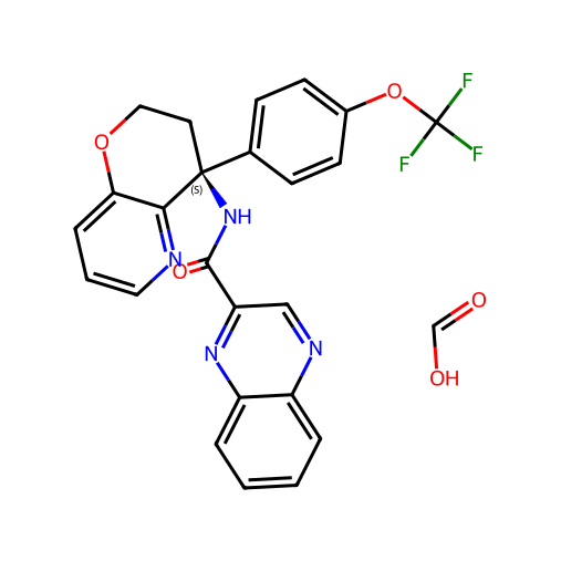 O=C(N[C@]1(c2ccc(OC(F)(F)F)cc2)CCOc2cccnc21)c1cnc2ccccc2n1.O=CO